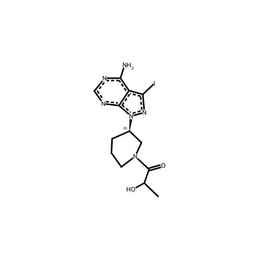 CC(O)C(=O)N1CCC[C@@H](n2nc(I)c3c(N)ncnc32)C1